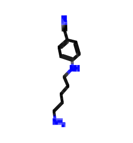 N#Cc1ccc(NCCCCCN)cc1